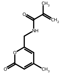 C=C(C)C(=O)NCc1cc(C)cc(=O)o1